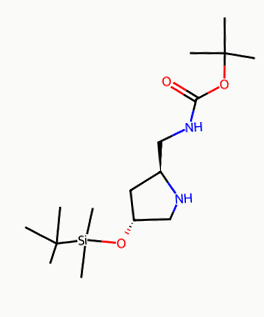 CC(C)(C)OC(=O)NC[C@@H]1C[C@@H](O[Si](C)(C)C(C)(C)C)CN1